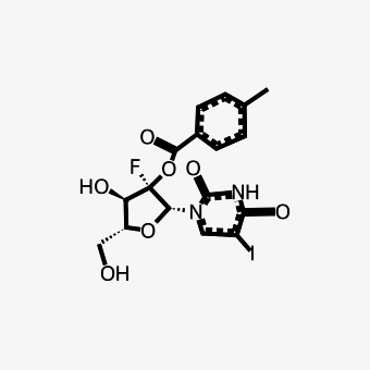 Cc1ccc(C(=O)O[C@]2(F)[C@H](O)[C@@H](CO)O[C@H]2n2cc(I)c(=O)[nH]c2=O)cc1